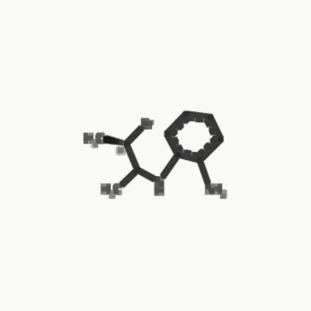 CC(Nc1ccccc1N)[C@@H](C)Br